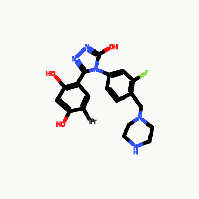 CC(C)c1cc(-c2nnc(O)n2-c2ccc(CN3CCNCC3)c(F)c2)c(O)cc1O